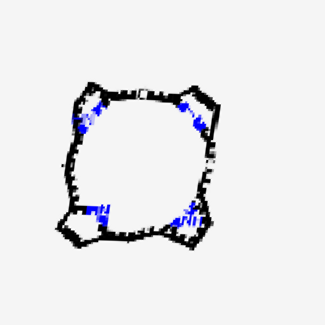 [c]1c2nc([c]c3ccc(cc4nc(cc5ccc1[nH]5)C=C4)[nH]3)C=C2